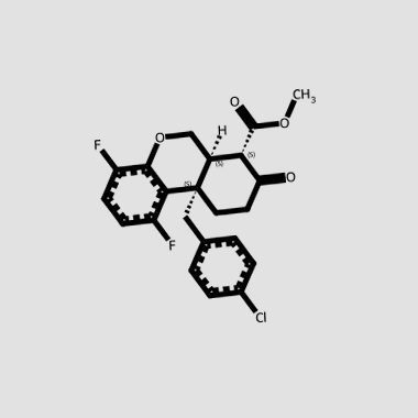 COC(=O)[C@@H]1C(=O)CC[C@@]2(Cc3ccc(Cl)cc3)c3c(F)ccc(F)c3OC[C@@H]12